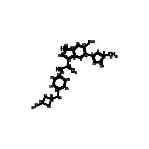 Cn1cc(-c2cc3c(C(=O)Nc4ccc(CN5CC(F)C5)cc4)n[nH]c3cc2F)cn1